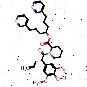 C=CC[C@H](C(=O)N1CCCCC1C(=O)OC(CCCc1cccnc1)CCCc1cccnc1)c1cc(OC)c(OC)c(OC)c1